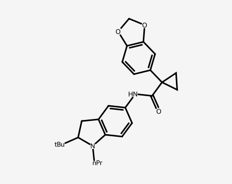 CCCN1c2ccc(NC(=O)C3(c4ccc5c(c4)OCO5)CC3)cc2CC1C(C)(C)C